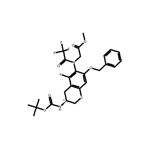 COC(=O)CN(C(=O)C(F)(F)F)c1c(OCc2ccccc2)cc2c(c1F)C[C@H](NC(=O)OC(C)(C)C)CS2